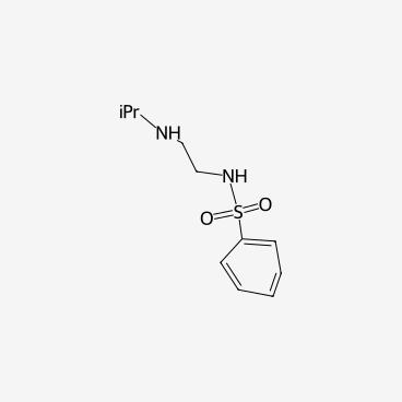 CC(C)NCCNS(=O)(=O)c1ccccc1